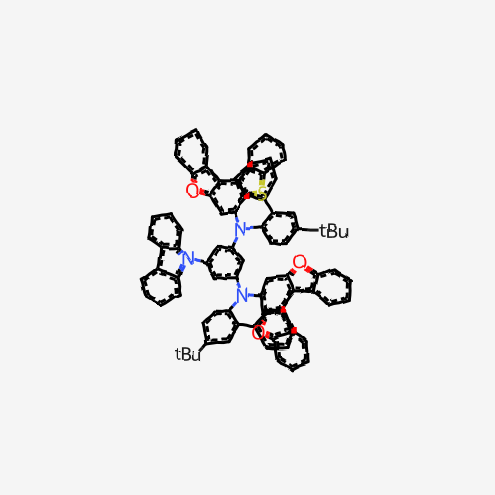 CC(C)(C)c1ccc(N(c2cc(N(c3ccc(C(C)(C)C)cc3-c3ccccc3)c3cc4oc5ccccc5c4c4c3sc3ccccc34)cc(-n3c4ccccc4c4ccccc43)c2)c2cc3oc4ccccc4c3c3c2oc2ccccc23)c(-c2ccccc2)c1